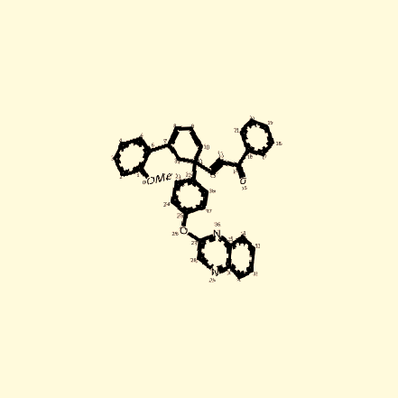 COc1ccccc1C1=CC=CC(/C=C/C(=O)c2ccccc2)(c2ccc(Oc3cnc4ccccc4n3)cc2)C1